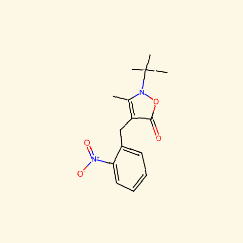 Cc1c(Cc2ccccc2[N+](=O)[O-])c(=O)on1C(C)(C)C